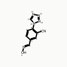 N#Cc1cc(C=NO)ccc1-n1cnnn1